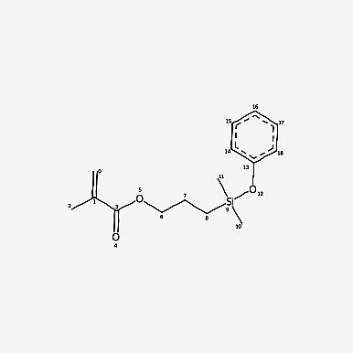 C=C(C)C(=O)OCCC[Si](C)(C)Oc1ccccc1